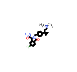 CN(C)CCC1(c2ccc(CN3C(=O)c4[c]cc(Cl)cc4C3C(N)=O)cc2)CC1